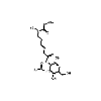 CCCCN(CCCCCC(=O)OC1[C@H](O)OC(CO)[C@@H](O)[C@@H]1OC(=O)CCC)C(=O)OC(C)(C)C